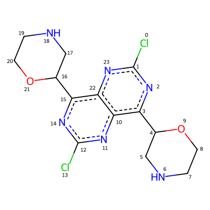 Clc1nc(C2CNCCO2)c2nc(Cl)nc(C3CNCCO3)c2n1